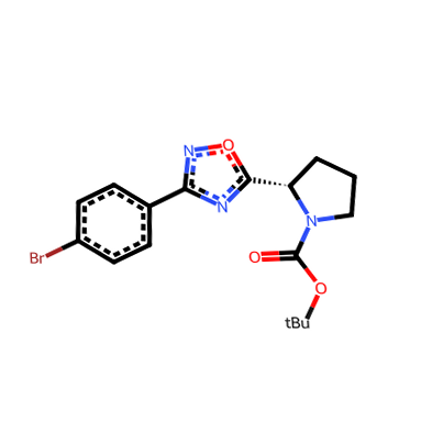 CC(C)(C)OC(=O)N1CCC[C@H]1c1nc(-c2ccc(Br)cc2)no1